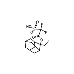 CCC1(OC(=O)C(F)(F)S(=O)(=O)O)C2CC3CC(C2)CC1C3